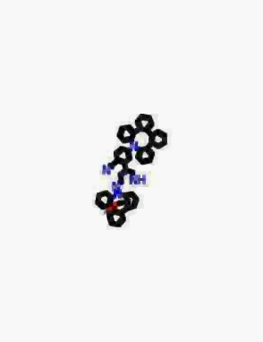 N#Cc1ccc(-n2c3ccccc3c3c(c4ccccc4c4ccccc42)C=CCC3)cc1/C(C=N)=C/C=N/N1C2=C(C=CCC2)c2c3cccc2-c2cccc1c2-c1ccccc1-3